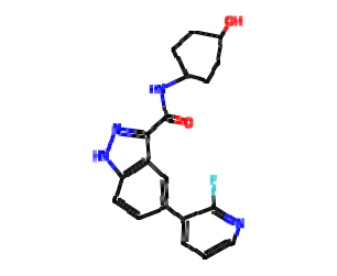 O=C(NC1CCC(O)CC1)c1n[nH]c2ccc(-c3cccnc3F)cc12